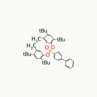 Cc1cc(OP(=O)(Oc2cc(C)c(C(C)(C)C)cc2C(C)(C)C)c2ccc(-c3ccccc3)cc2)c(C(C)(C)C)cc1C(C)(C)C